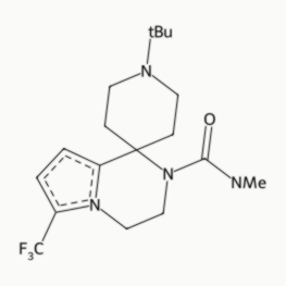 CNC(=O)N1CCn2c(C(F)(F)F)ccc2C12CCN(C(C)(C)C)CC2